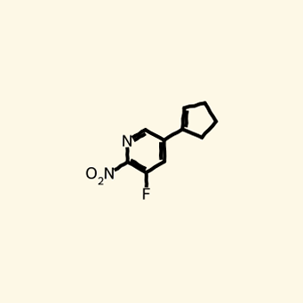 O=[N+]([O-])c1ncc(C2=CCCC2)cc1F